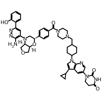 Nc1nnc(-c2ccccc2O)cc1N1C[C@@H](c2ccc(C(=O)N3CCN(CC4CCC(n5cc(C6CC6)c6cc(N7CCC(=O)NC7=O)cnc65)CC4)CC3)cc2)O[C@H]2COC[C@H]21